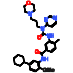 COc1ccc(C2CCCCC2)cc1NC(=O)c1ccc(C)c(NC(=O)N(CCCN2CCOCC2)c2ccncn2)c1